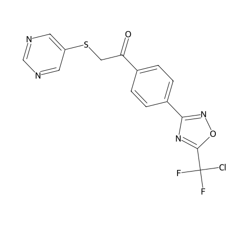 O=C(CSc1cncnc1)c1ccc(-c2noc(C(F)(F)Cl)n2)cc1